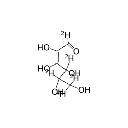 [2H]C(=O)/C(O)=C(/O)C([2H])(O)C([2H])(O)C([2H])([2H])O